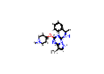 CC(C)c1cnn2c(NC(C)c3ccccc3)nc(OC3CCN(C)CC3)nc12